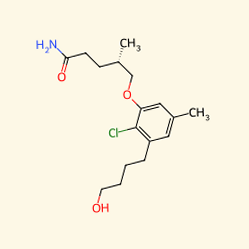 Cc1cc(CCCCO)c(Cl)c(OC[C@@H](C)CCC(N)=O)c1